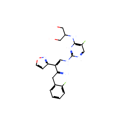 N=C(Cc1ccccc1F)/C(=C\Nc1ncc(F)c(NC(CO)CO)n1)c1ccon1